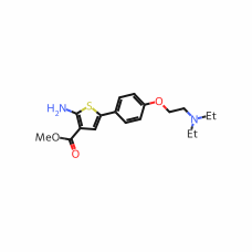 CCN(CC)CCOc1ccc(-c2cc(C(=O)OC)c(N)s2)cc1